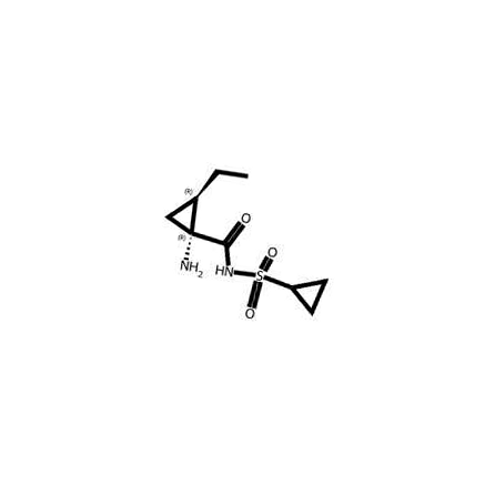 CC[C@@H]1C[C@]1(N)C(=O)NS(=O)(=O)C1CC1